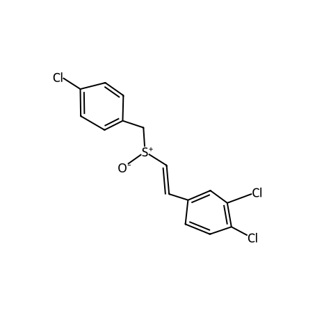 [O-][S+](C=Cc1ccc(Cl)c(Cl)c1)Cc1ccc(Cl)cc1